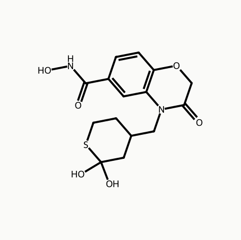 O=C(NO)c1ccc2c(c1)N(CC1CCSC(O)(O)C1)C(=O)CO2